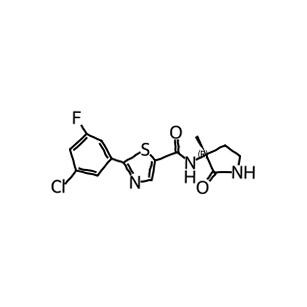 C[C@@]1(NC(=O)c2cnc(-c3cc(F)cc(Cl)c3)s2)CCNC1=O